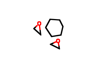 C1CCCCC1.C1CO1.C1CO1